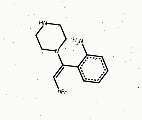 CCC/C=C(\c1ccccc1N)N1CCNCC1